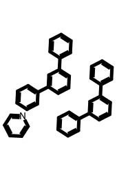 c1ccc(-c2cccc(-c3ccccc3)c2)cc1.c1ccc(-c2cccc(-c3ccccc3)c2)cc1.c1ccncc1